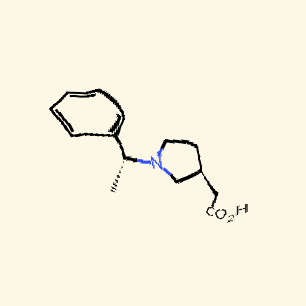 C[C@H](c1ccccc1)N1CC[C@@H](CC(=O)O)C1